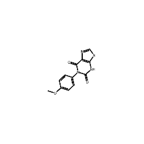 COc1ccc(-n2c(=O)[nH]c3c(c2=O)N=C[N]3)cc1